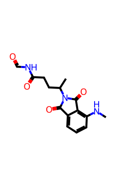 CNc1cccc2c1C(=O)N(C(C)CCC(=O)NC=O)C2=O